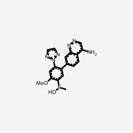 COc1cc(-n2nccn2)c(-c2ccc3c(N)cnnc3c2)cc1B(C)O